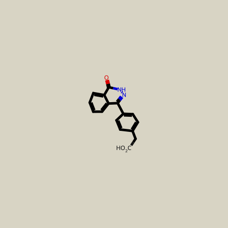 O=C(O)Cc1ccc(-c2n[nH]c(=O)c3ccccc23)cc1